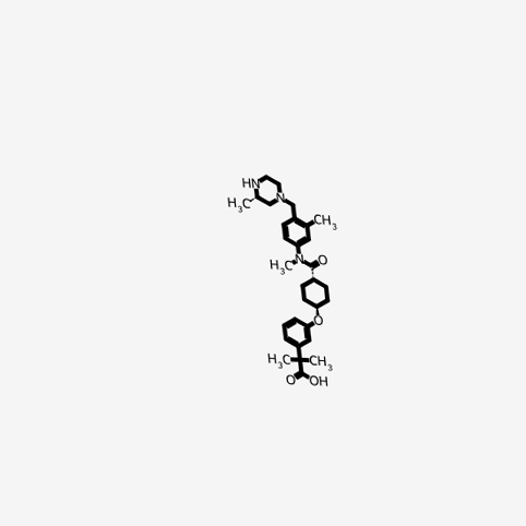 Cc1cc(N(C)C(=O)[C@H]2CC[C@H](Oc3cccc(C(C)(C)C(=O)O)c3)CC2)ccc1CN1CCN[C@@H](C)C1